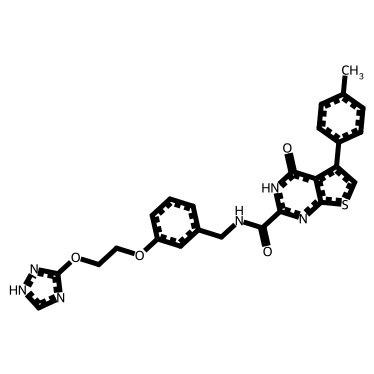 Cc1ccc(-c2csc3nc(C(=O)NCc4cccc(OCCOc5nc[nH]n5)c4)[nH]c(=O)c23)cc1